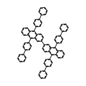 c1ccc(-c2ccc(-c3c4ccccc4c(-c4ccc(-c5ccccc5)cc4)c4cc(-c5ccc6c(-c7ccc(-c8ccccc8)cc7)c7ccccc7c(-c7ccc(-c8ccccc8)cc7)c6c5)ccc34)cc2)cc1